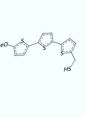 COc1ccc(-c2ccc(-c3ccc(CS)s3)s2)s1